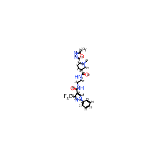 CC(C)c1nnc([C@H]2CC[C@H](C(=O)NCCNC(=O)c3cn(-c4ccccc4)nc3C(F)(F)F)CN2C)o1